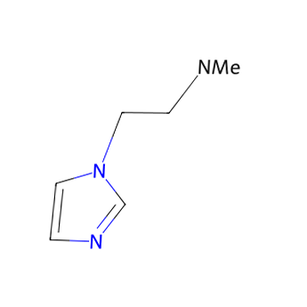 CNCCn1ccnc1